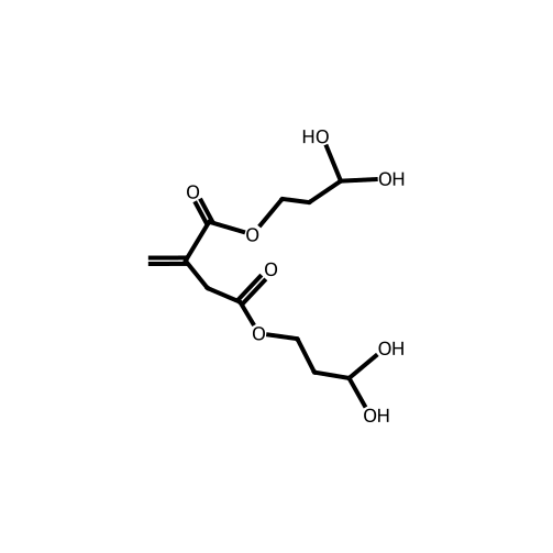 C=C(CC(=O)OCCC(O)O)C(=O)OCCC(O)O